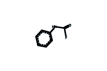 O=C(F)Nc1ccccc1